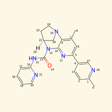 Cc1ccc(-c2cc(C)c3c(n2)N(C(=O)Nc2ccccn2)[C@H]2CCN3C2)cn1